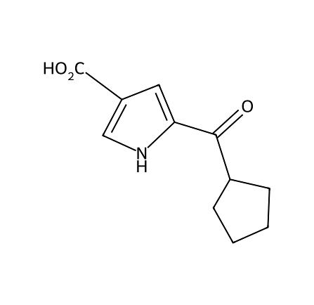 O=C(O)c1c[nH]c(C(=O)C2CCCC2)c1